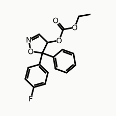 CCOC(=O)OC1C=NOC1(c1ccccc1)c1ccc(F)cc1